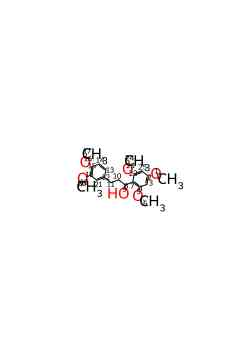 COc1cc(OC)c(C(O)CCc2ccc(OC)c(OC)c2)c(OC)c1